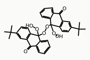 CC(C)(C)c1ccc2c(c1)C(=O)c1ccccc1C2(OO)OOC1(OO)c2ccccc2C(=O)c2cc(C(C)(C)C)ccc21